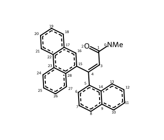 CNC(=O)C=C(c1cccc2ccccc12)c1cc2ccccc2c2ccccc12